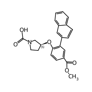 COC(=O)c1ccc(O[C@H]2CCN(C(=O)O)C2)c(-c2ccc3ccccc3c2)c1